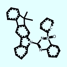 CC1(C)c2ccccc2-c2cc3c4ccccc4n(C4=Nc5ccccc5S(=O)(c5ccccc5)=N4)c3cc21